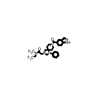 CN(CC(F)(F)F)C(=O)CN1CN(c2ccccc2)C2(CCN(C(=O)c3ccc4[nH]ncc4c3)CC2)C1